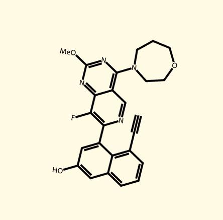 C#Cc1cccc2cc(O)cc(-c3ncc4c(N5CCCOCC5)nc(OC)nc4c3F)c12